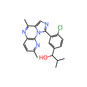 Cc1ccc2nc(C)c3cnc(-c4cc(C(O)C(C)C)ccc4Cl)n3c2n1